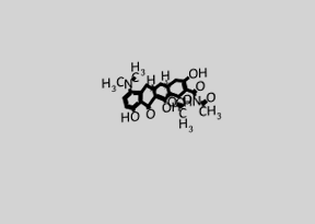 CC(=O)NC(=O)C1=C(O)C[C@@H]2C[C@@H]3Cc4c(N(C)C)ccc(O)c4C(=O)C3=C(O)[C@]2(OC(C)=O)C1=O